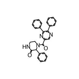 O=C1NCCN(C(=O)c2cnc(-c3ccccc3)c(-c3ccccc3)n2)C1c1ccccc1